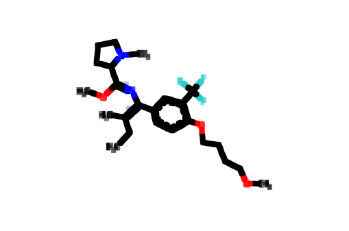 CC/C(C)=C(/N=C(\OC)C1CCCN1C)c1ccc(OCCCCOC)c(C(F)(F)F)c1